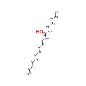 [CH]=CCCCCCCCCCC(O)CCCCCC